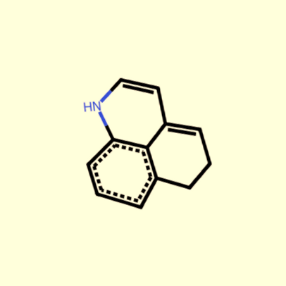 C1=CC2=CCCc3cccc(c32)N1